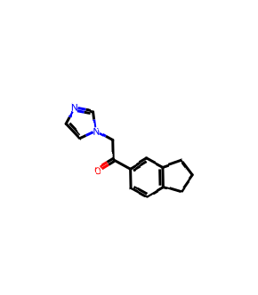 O=C(Cn1ccnc1)c1ccc2c(c1)CCC2